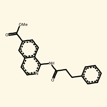 COC(=O)c1ccc2c(NC(=O)CCc3ccccc3)nccc2c1